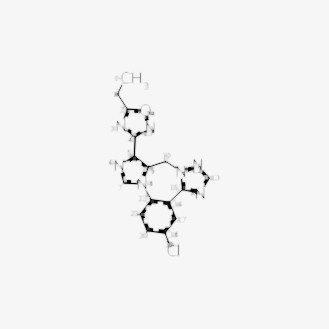 CCc1nc(-c2ncn3c2Cn2ncnc2-c2cc(Cl)ccc2-3)no1